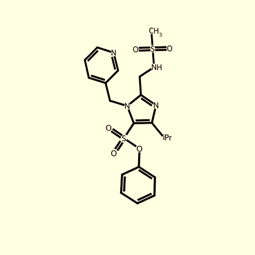 CC(C)c1nc(CNS(C)(=O)=O)n(Cc2cccnc2)c1S(=O)(=O)Oc1ccccc1